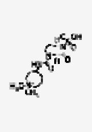 C[N+]1(C)CCC[C@H](NC(=O)N2CC[C@@H]3[C@H]2C(=O)N3S(=O)(=O)O)CC1